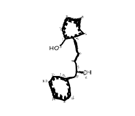 Oc1ccccc1CC[C@@H](O)c1ccccc1